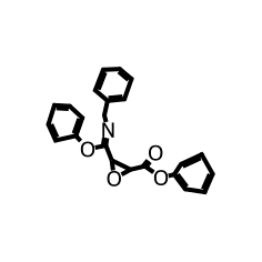 O=C(Oc1ccccc1)C1OC1C(=NCc1ccccc1)Oc1ccccc1